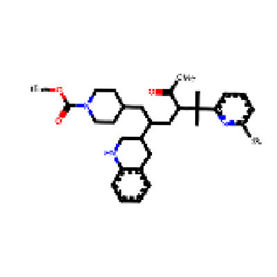 COC(=O)C(CC(CC1CCN(C(=O)OC(C)(C)C)CC1)C1CNc2ccccc2C1)C(C)(C)c1cccc(C(C)(C)C)n1